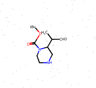 CC(C=O)C1CNCCN1C(=O)OC(C)(C)C